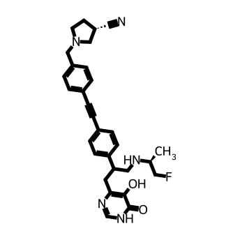 C[C@@H](CF)NCC(Cc1nc[nH]c(=O)c1O)c1ccc(C#Cc2ccc(CN3CC[C@H](C#N)C3)cc2)cc1